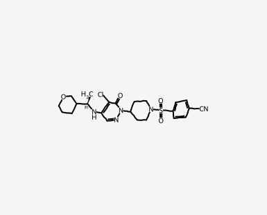 C[C@@H](Nc1cnn(C2CCN(S(=O)(=O)c3ccc(C#N)cc3)CC2)c(=O)c1Cl)C1CCCOC1